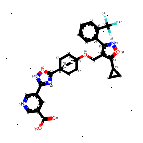 O=C(O)c1cncc(-c2noc(C34CCC(OCc5c(-c6ccccc6C(F)(F)F)noc5C5CC5)(CC3)CC4)n2)c1